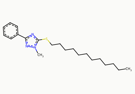 CCCCCCCCCCCCSc1nc(-c2ccccc2)nn1C